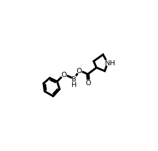 O=C(OBOc1ccccc1)C1CCNC1